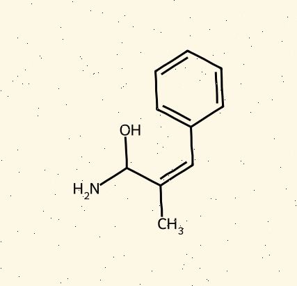 CC(=Cc1ccccc1)C(N)O